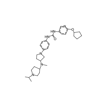 CC(C)N1CCC(N(C)C2CCN(c3ccc(NC(=O)Nc4ccc(OC5CCCC5)nc4)cc3)C2)CC1